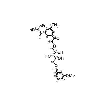 CCCN(CCC)C(=O)c1cc(C)cc(C(=O)NOC[C@H](O)[C@@H](O)[C@H](O)CONc2cccc(OC)c2)c1